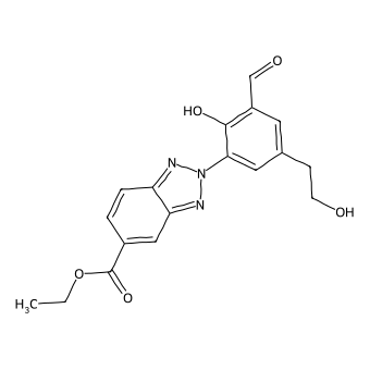 CCOC(=O)c1ccc2nn(-c3cc(CCO)cc(C=O)c3O)nc2c1